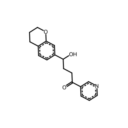 O=C(CCC(O)c1ccc2c(c1)OCCC2)c1cccnc1